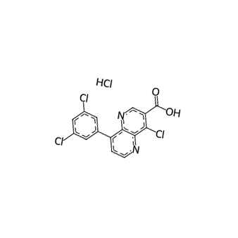 Cl.O=C(O)c1cnc2c(-c3cc(Cl)cc(Cl)c3)ccnc2c1Cl